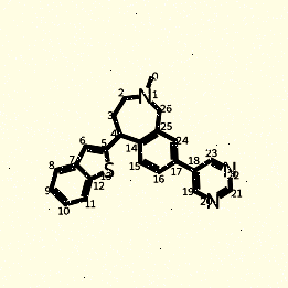 CN1CCC(c2cc3ccccc3s2)c2ccc(-c3cncnc3)cc2C1